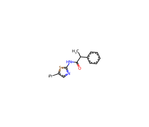 CC(C)c1cnc(NC(=O)C(C)c2ccccc2)s1